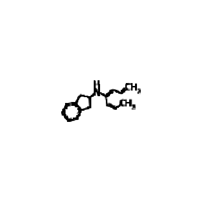 C=C/C=C(\C=C/C)NC1Cc2ccccc2C1